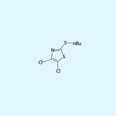 CCCCSc1nc(Cl)c(Cl)s1